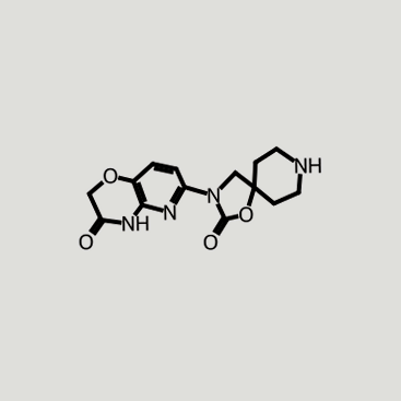 O=C1COc2ccc(N3CC4(CCNCC4)OC3=O)nc2N1